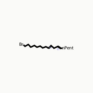 CCCCC/C=C/C/C=C/CCCCCCCCBr